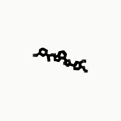 CC(C)Oc1ccc(-c2nnc(-c3cccc4c3CC[C@@H]4NC(=O)N3CCC[C@H](O)C3)s2)cc1C#N